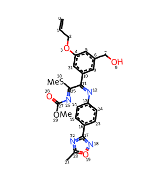 C=CCOc1cc(CO)cc(C(=N/c2ccc(-c3noc(C)n3)cc2)/C(=N/C(=O)OC)SC)c1